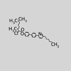 CCCCCCc1ccc(-c2ccc(-c3ccc(OC(=O)C(Cl)C(C)CCCC(C)C)cc3)cc2)nc1